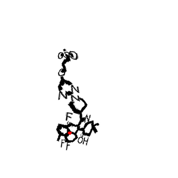 Cc1ccc([C@H](F)c2c(C3CCN(c4ncc(OCCCS(C)(=O)=O)cn4)CC3)nc3c(c2C2CCC(F)(F)CC2)[C@@H](O)CC(C)(C)C3)cc1